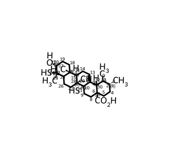 C[C@H]1[C@H](C)CC[C@]2(C(=O)O)CC[C@]3(S)C(=CC[C@@H]4[C@@]5(C)CC[C@H](O)[C@@](C)(S)C5CC[C@]43C)[C@H]12